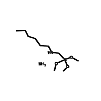 CCCCCCNC[Si](OC)(OC)OC.N